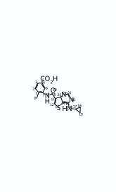 Cc1ccc(C(=O)O)cc1NC(=O)c1csc2c(NC3CC3)ncnc12